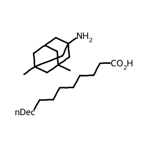 CC12CC3CC(C)(C1)CC(N)(C3)C2.CCCCCCCCCCCCCCCCCC(=O)O